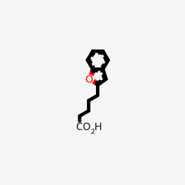 O=C(O)CCCCc1cc2ccccc2o1